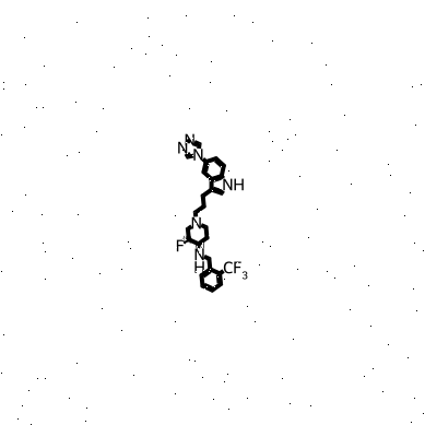 F[C@H]1CN(CCCc2c[nH]c3ccc(-n4cnnc4)cc23)CC[C@H]1NCc1ccccc1C(F)(F)F